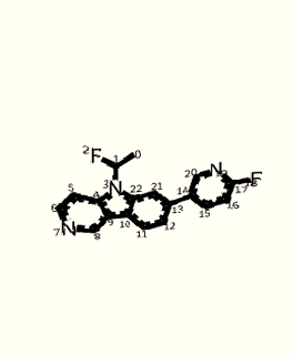 CC(F)n1c2ccncc2c2ccc(-c3ccc(F)nc3)cc21